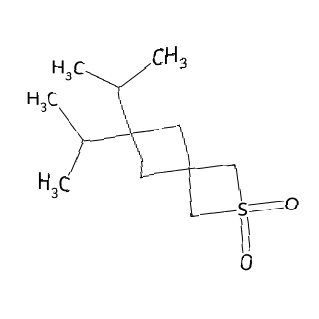 CC(C)C1(C(C)C)CC2(C1)CS(=O)(=O)C2